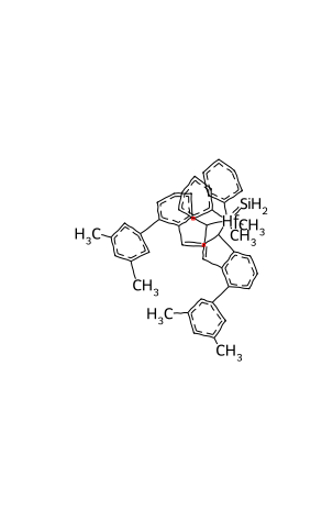 Cc1cc(C)cc(-c2cccc3c2C=C[CH]3[Hf]([CH3])([CH3])(=[SiH2])([c]2ccccc2)([c]2ccccc2)[CH]2C=Cc3c(-c4cc(C)cc(C)c4)cccc32)c1